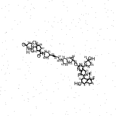 C#Cc1c(F)ccc2cc(O)cc(-c3ncc4c(N5CCC[C@@](C)(O)C5)nc(OCC5(CN6CCN(CCC#CC7CCN(C(=O)c8ccc(Cl)c(N9CCC(=O)NC9=O)c8)CC7)CC6)CC5)nc4c3F)c12